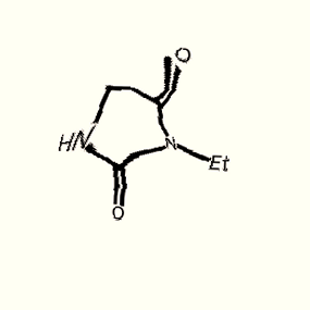 [CH2]CN1C(=O)CNC1=O